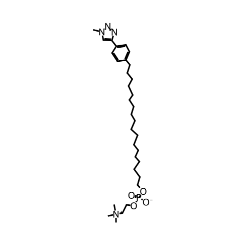 Cn1cc(-c2ccc(CCCCCCCCCCCCCCCCCCOP(=O)([O-])OCC[N+](C)(C)C)cc2)nn1